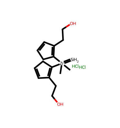 Cl.Cl.[CH3][Zr]([CH3])(=[SiH2])([C]1=C(CCO)C=CC1)[C]1=C(CCO)C=CC1